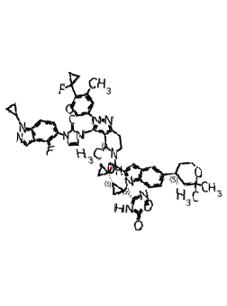 Cc1cc(-n2nc3c(c2N2C=CN(c4ccc5c(cnn5C5CC5)c4F)C2=C=O)[C@H](C)N(C(=O)c2cc4cc([C@H]5CCOC(C)(C)C5)ccc4n2[C@@]2(c4noc(=O)[nH]4)C[C@@H]2C2(O)CC2)CC3)ccc1C1(F)CC1